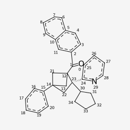 O=C(c1ccc2ccccc2c1)C12CC(c3ccccc3)(C1)C[C@]2(c1ccccn1)C1CCCC1